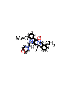 COc1cccc2c3c(=O)n(Cc4c(C)cccc4C)ccc3n(CCN3CCOCC3)c12